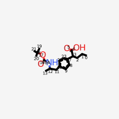 CCCC(C(=O)O)c1ccc(CC(C)NC(=O)OC(C)(C)C)cc1